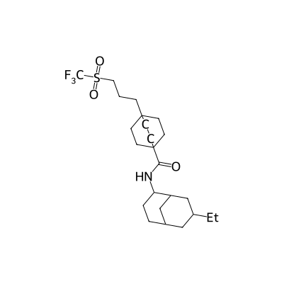 CCC1CC2CCC(NC(=O)C34CCC(CCCS(=O)(=O)C(F)(F)F)(CC3)CC4)C(C1)C2